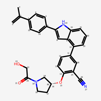 C=C(C)c1ccc(-c2cc3c(-c4ccc(O[C@@H]5CCN(C(=O)CO)C5)c(C#N)c4)cccc3[nH]2)cc1